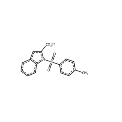 CCOC(=O)c1cc2ccccc2n1S(=O)(=O)c1ccc(C)cc1